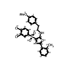 COc1ccc(CCNc2oc(-c3ccccc3C)nc2S(=O)(=O)c2ccc(Cl)c(Cl)c2)cc1